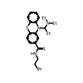 CCC(N(CC)CC)N1c2ccccc2Sc2ccc(C(=S)NCCC(C)C)cc21